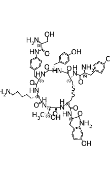 C[C@@H](O)[C@@H]1NC(=O)[C@H](CCCCCN)NC(=O)[C@@H](Cc2ccc(NC(=O)[C@@H](N)CO)cc2)NC(=O)[C@H](Cc2ccc(O)cc2)NC(=O)[C@H](NC(=O)[C@@H](N)Cc2ccc(Cl)cc2)CSSC[C@@H](C(=O)N[C@H](Cc2ccc(O)cc2)C(N)=O)NC1=O